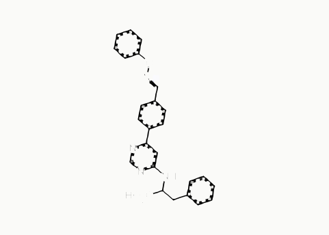 O=C(O)C(Cc1ccccc1)Nc1cc(-c2ccc(/C=N/Oc3ccccc3)cc2)ncn1